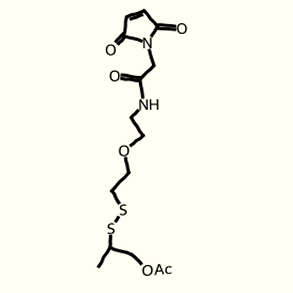 CC(=O)OCC(C)SSCCOCCNC(=O)CN1C(=O)C=CC1=O